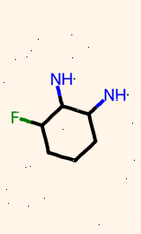 [NH]C1CCCC(F)C1[NH]